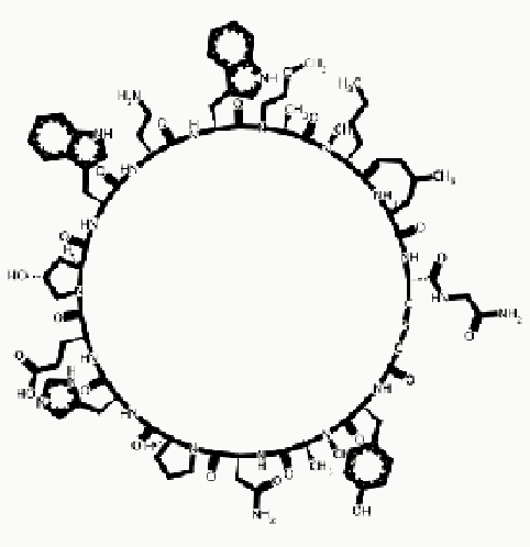 CCCC[C@H]1C2=CCC(C)C[C@H](N2)C(=O)N[C@H](C(=O)NCC(N)=O)CSCC(=O)N[C@@H](Cc2ccc(O)cc2)C(=O)N(C)[C@@H](C)C(=O)N[C@@H](CC(N)=O)C(=O)N2CCC[C@H]2C(=O)N[C@@H](Cc2cnc[nH]2)C(=O)N[C@@H](CCC(=O)O)C(=O)N2C[C@H](O)C[C@H]2C(=O)N[C@@H](Cc2c[nH]c3ccccc23)C(=O)N[C@@H](CCN)C(=O)N[C@@H](Cc2c[nH]c3ccccc23)C(=O)N(CCOC)[C@@H](C)C(=O)N1C